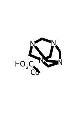 C1N2CN3CN1CN(C2)C3.CC(=O)O.[Co]